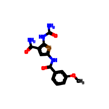 COc1cccc(C(=O)Nc2cc(C(N)=O)c(NC(N)=O)s2)c1